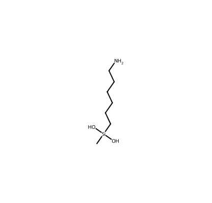 C[Si](O)(O)CCCCCCN